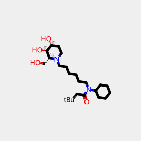 CC(C)(C)CC(=O)N(CCCCCCN1CC[C@@H](O)[C@H](O)[C@H]1CO)C1CCCCC1